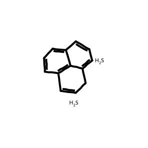 C1=Cc2cccc3cccc(c23)C1.S.S